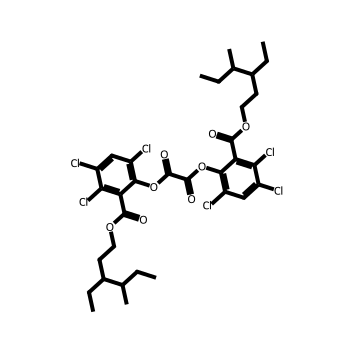 CCC(C)C(CC)CCOC(=O)c1c(Cl)c(Cl)cc(Cl)c1OC(=O)C(=O)Oc1c(Cl)cc(Cl)c(Cl)c1C(=O)OCCC(CC)C(C)CC